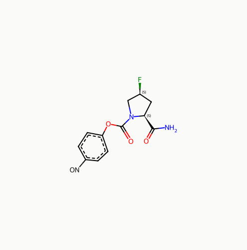 NC(=O)[C@@H]1C[C@H](F)CN1C(=O)Oc1ccc(N=O)cc1